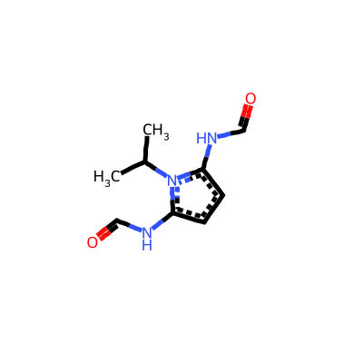 CC(C)n1c(NC=O)ccc1NC=O